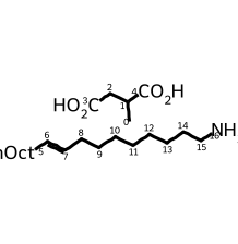 CC(CC(=O)O)C(=O)O.CCCCCCCCC=CCCCCCCCCN